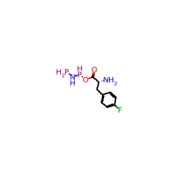 N[C@H](Cc1ccc(F)cc1)C(=O)OPNP